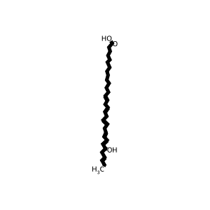 CC/C=C/CC(O)/C=C/C=C/C/C=C/C/C=C/C/C=C/CCCCCCCCCCCCC(=O)O